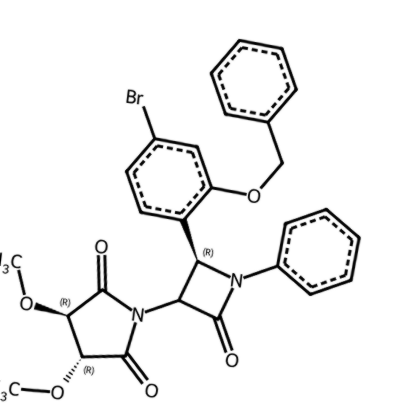 CO[C@H]1C(=O)N(C2C(=O)N(c3ccccc3)[C@@H]2c2ccc(Br)cc2OCc2ccccc2)C(=O)[C@@H]1OC